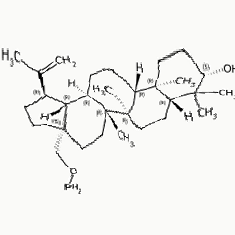 C=C(C)[C@@H]1CC[C@]2(COP)CC[C@]3(C)[C@H](CC[C@@H]4[C@@]5(C)CC[C@H](O)C(C)(C)[C@@H]5CC[C@]43C)[C@@H]12